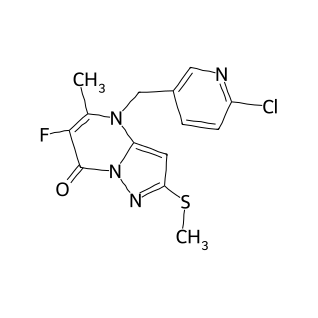 CSc1cc2n(Cc3ccc(Cl)nc3)c(C)c(F)c(=O)n2n1